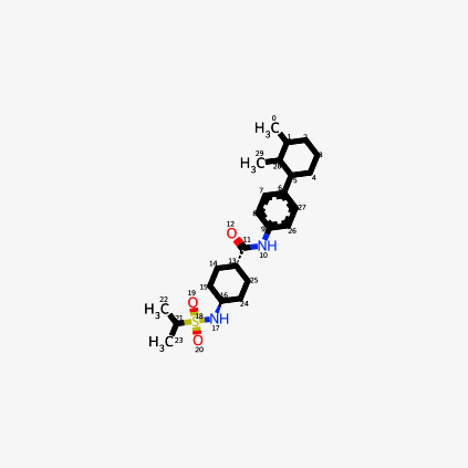 CC1CCCC(c2ccc(NC(=O)[C@H]3CC[C@H](NS(=O)(=O)C(C)C)CC3)cc2)C1C